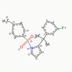 [2H]C([2H])(c1cccc(F)c1)c1cccn1S(=O)(=O)c1ccc(C)cc1